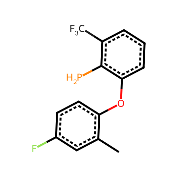 Cc1cc(F)ccc1Oc1cccc(C(F)(F)F)c1P